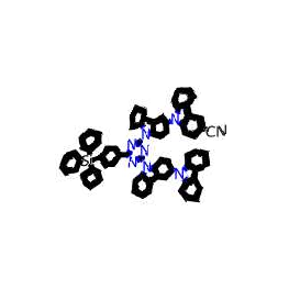 N#Cc1ccc2c(c1)c1ccccc1n2-c1ccc2c(c1)c1ccccc1n2-c1nc(-c2ccc([Si](c3ccccc3)(c3ccccc3)c3ccccc3)cc2)nc(-n2c3ccccc3c3cc(-n4c5ccccc5c5ccccc54)ccc32)n1